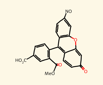 COC(=O)c1cc(C(=O)O)ccc1-c1c2ccc(=O)cc-2oc2cc(N=O)ccc12